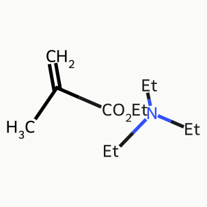 C=C(C)C(=O)OCC.CCN(CC)CC